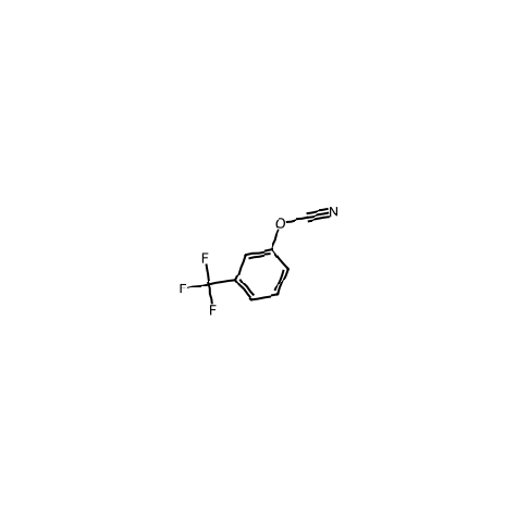 N#COc1cccc(C(F)(F)F)c1